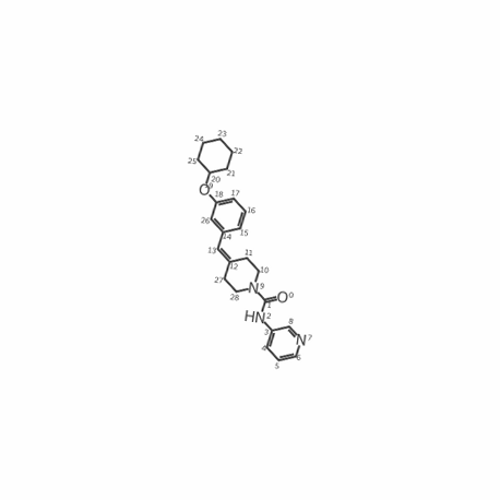 O=C(Nc1cccnc1)N1CCC(=Cc2cccc(OC3CCCCC3)c2)CC1